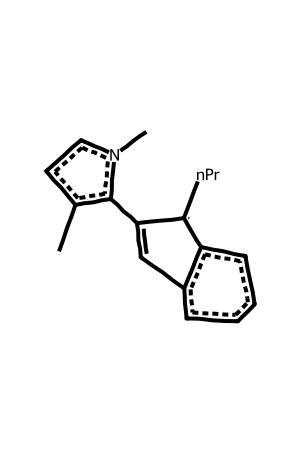 CCC[C]1C(c2c(C)ccn2C)=Cc2ccccc21